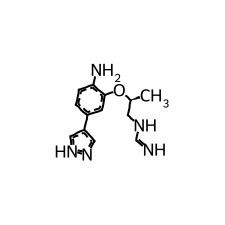 C[C@@H](CNC=N)Oc1cc(-c2cn[nH]c2)ccc1N